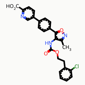 Cc1noc(-c2ccc(-c3ccc(C(=O)O)nc3)cc2)c1NC(=O)OCCc1ccccc1Cl